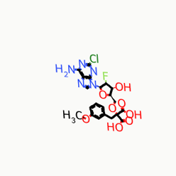 COc1cccc(CC(OC[C@H]2O[C@@H](n3cnc4c(N)nc(Cl)nc43)[C@@H](F)[C@@H]2O)(C(=O)O)C(=O)O)c1